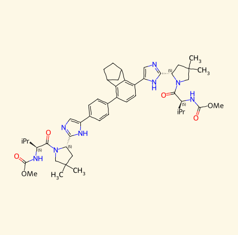 COC(=O)N[C@H](C(=O)N1CC(C)(C)C[C@H]1c1ncc(-c2ccc(-c3ccc(-c4cnc([C@@H]5CC(C)(C)CN5C(=O)[C@@H](NC(=O)OC)C(C)C)[nH]4)c4c3C3CCC4C3)cc2)[nH]1)C(C)C